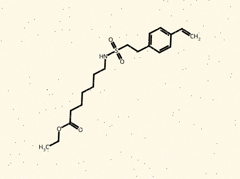 C=Cc1ccc(CCS(=O)(=O)NCCCCCCC(=O)OCC)cc1